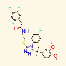 COc1ccc(C(C)(C)c2nnc(SCCNC(=O)Cc3cc(F)c(F)cc3F)n2-c2ccc(F)cc2)cc1OC